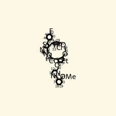 CCOC(=O)[C@H]1Cc2cc(ccc2OCc2ccnc(-c3ccccc3OC)n2)OCCOc2ccc(c(C)c2Cl)-c2c(-c3ccc(F)cc3)sc3ncnc(c23)O1